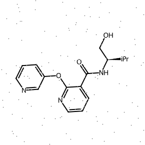 CC(C)[C@H](CO)NC(=O)c1cccnc1Oc1cccnc1